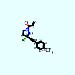 C=CC(=O)N1CC[C@](F)(C#Cc2ccc(C(F)(F)F)cc2)C1